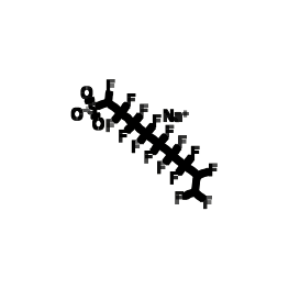 O=S(=O)([O-])C(F)C(F)(F)C(F)(F)C(F)(F)C(F)(F)C(F)(F)C(F)(F)C(F)C(F)F.[Na+]